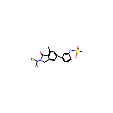 CCC(CC)N1Cc2cc(-c3cccc(NS(C)(=O)=O)c3)cc(C)c2C1=O